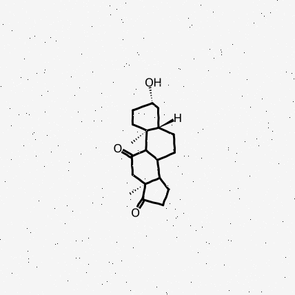 C[C@]12CC(=O)C3C(CC[C@H]4C[C@@H](O)CC[C@]34C)C1CCC2=O